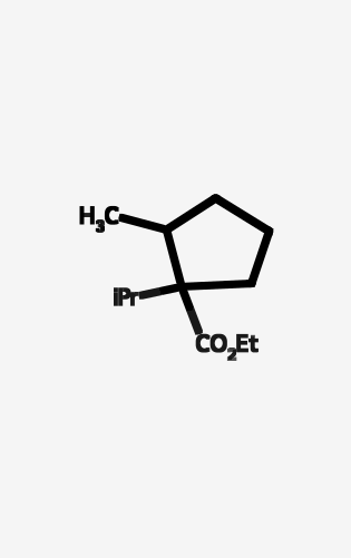 CCOC(=O)C1(C(C)C)CCCC1C